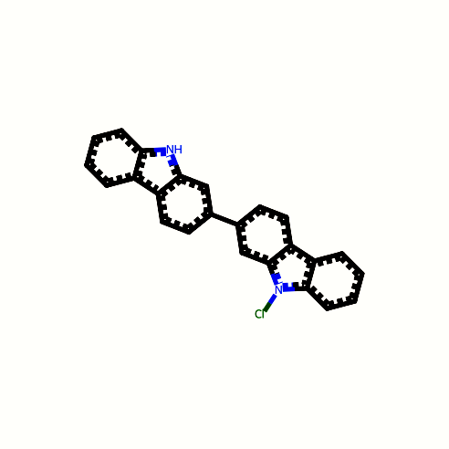 Cln1c2ccccc2c2ccc(-c3ccc4c(c3)[nH]c3ccccc34)cc21